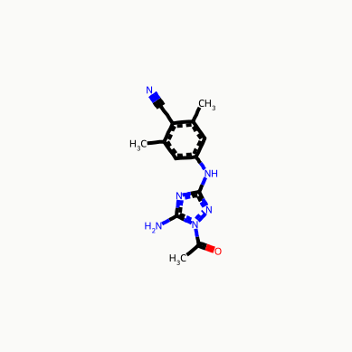 CC(=O)n1nc(Nc2cc(C)c(C#N)c(C)c2)nc1N